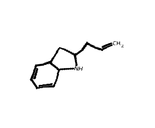 C=CCC1CC2C=CC=CC2N1